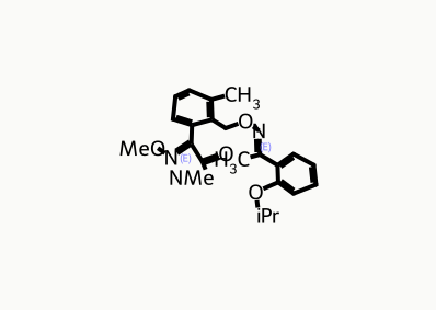 CNC(=O)/C(=N/OC)c1cccc(C)c1CO/N=C(\C)c1ccccc1OC(C)C